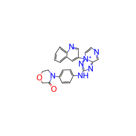 O=C1COCCN1c1ccc(NC2=N[N+]3(c4cnc5ccccc5c4)C=CN=CC3=N2)cc1